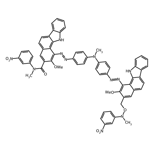 COc1c(CON(C)c2cccc([N+](=O)[O-])c2)cc2ccc3c4ccccc4[nH]c3c2c1N=Nc1ccc(N(C)c2ccc(N=Nc3c(OC)c(C(=O)N(C)c4cccc([N+](=O)[O-])c4)cc4ccc5c6ccccc6[nH]c5c34)cc2)cc1